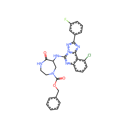 O=C1NCCN(C(=O)OCc2ccccc2)CC1Nc1nc2cccc(Cl)c2c2nc(-c3cccc(F)c3)nn12